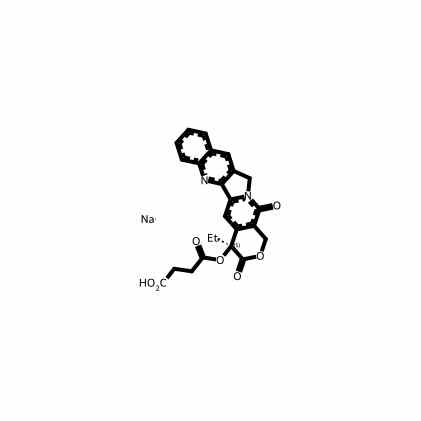 CC[C@@]1(OC(=O)CCC(=O)O)C(=O)OCc2c1cc1n(c2=O)Cc2cc3ccccc3nc2-1.[Na]